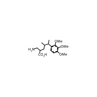 COc1ccc(C(C)C(C)CC(CN)C(=O)O)c(OC)c1OC